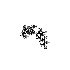 O=c1cnn([C@@H]2O[C@H](COP(=O)(O)OP(=O)(O)OP(=O)(O)O)C(O)[C@]2(F)CF)c(=O)[nH]1